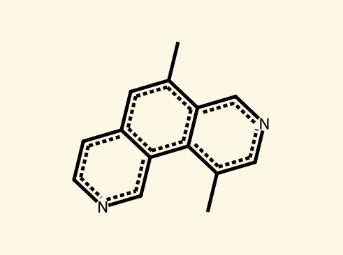 Cc1cc2ccncc2c2c(C)cncc12